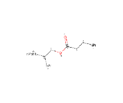 CCCCCC(CCC)COC(=O)CCC(C)C